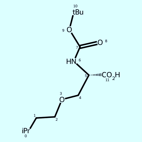 CC(C)CCOC[C@H](NC(=O)OC(C)(C)C)C(=O)O